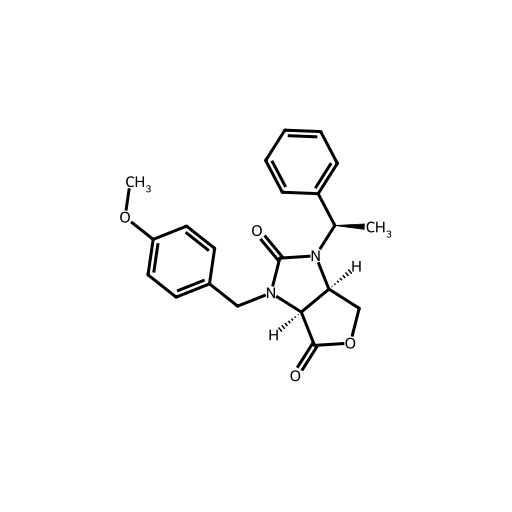 COc1ccc(CN2C(=O)N([C@H](C)c3ccccc3)[C@H]3COC(=O)[C@H]32)cc1